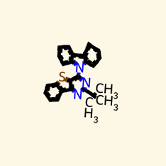 CC(C)(C)c1nc(-n2c3ccccc3c3ccccc32)c2sc3ccccc3c2n1